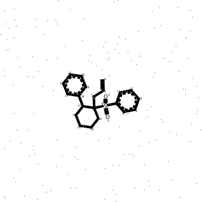 C=CCC1(S(=O)(=O)c2ccccc2)CCCCC1c1ccccc1